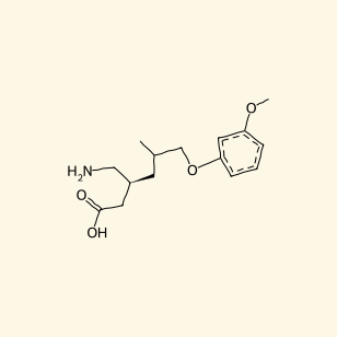 COc1cccc(OCC(C)C[C@H](CN)CC(=O)O)c1